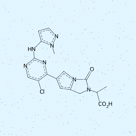 CC(C(=O)O)N1Cc2cc(-c3nc(Nc4ccnn4C)ncc3Cl)cn2C1=O